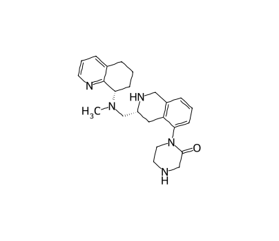 CN(C[C@H]1Cc2c(cccc2N2CCNCC2=O)CN1)[C@H]1CCCc2cccnc21